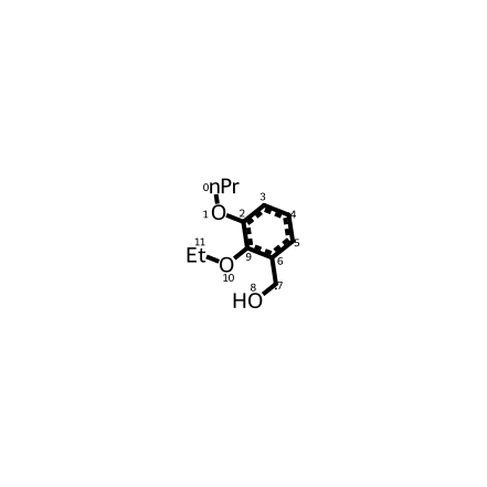 CCCOc1cccc([CH]O)c1OCC